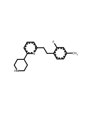 Cc1ccc(CCc2cccc(C3CCNCC3)n2)c(F)c1